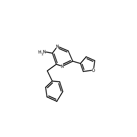 Nc1ncc(-c2ccoc2)nc1Cc1ccccc1